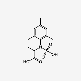 Cc1cc(C)c(N(C(C)C(=O)O)S(=O)(=O)O)c(C)c1